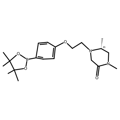 C[C@@H]1CN(C)C(=O)CN1CCOc1ccc(B2OC(C)(C)C(C)(C)O2)cc1